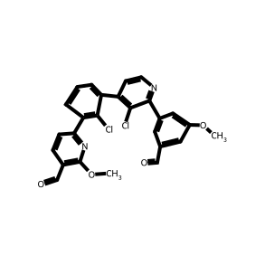 COc1cc(C=O)cc(-c2nccc(-c3cccc(-c4ccc(C=O)c(OC)n4)c3Cl)c2Cl)c1